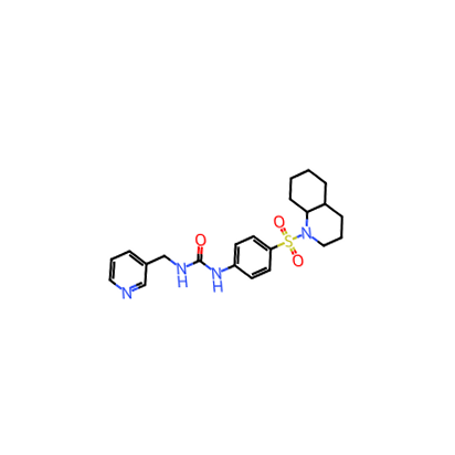 O=C(NCc1cccnc1)Nc1ccc(S(=O)(=O)N2CCCC3CCCCC32)cc1